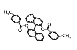 Cc1ccc(C(=O)Oc2ccc3ccccc3c2-c2c(OC(=O)c3cccc(C)c3)ccc3ccccc23)cc1